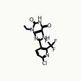 CCn1c(=O)[nH]c(=O)c2[nH]c(-c3ccc(Cl)nc3C(F)(F)F)nc21